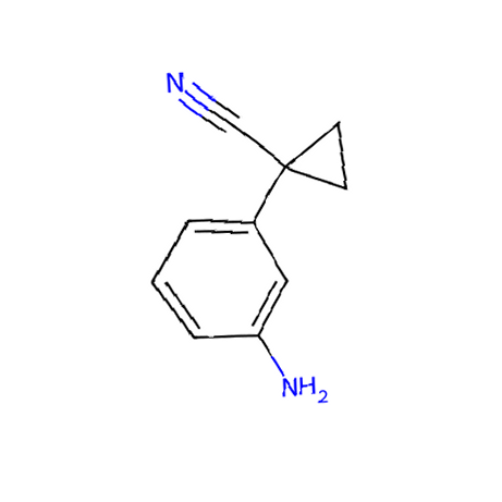 N#CC1(c2cccc(N)c2)CC1